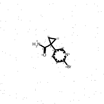 NC(=O)C1(c2ccc(Br)nc2)CC1